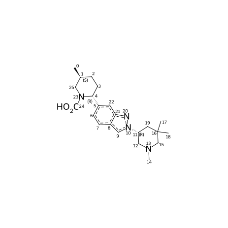 C[C@H]1CC[C@H](c2ccc3cn([C@H]4CN(C)CC(C)(C)C4)nc3c2)N(C(=O)O)C1